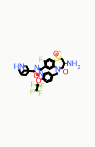 N[C@H]1C[S+]([O-])c2cc(F)c(-c3noc(C45CNCC(C4)C5)n3)cc2N(Cc2ccc(OC(F)(F)C(F)F)cc2)C1=O